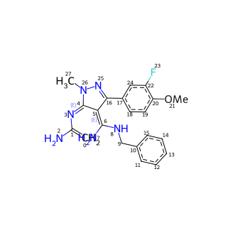 C=C(N)/N=C1\C(=C(/N)NCc2ccccc2)C(c2ccc(OC)c(F)c2)=NN1C